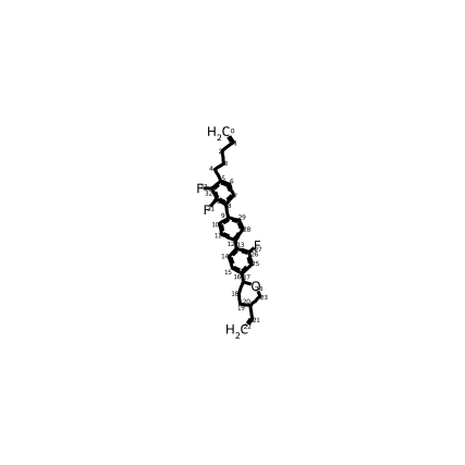 C=CCCCc1ccc(-c2ccc(-c3ccc(C4CCC(C=C)CO4)cc3F)cc2)c(F)c1F